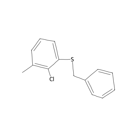 Cc1cccc(SCc2ccccc2)c1Cl